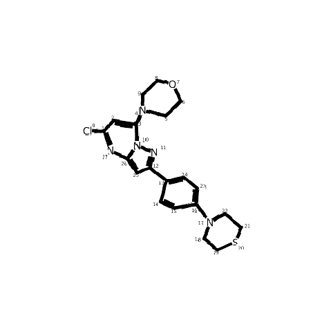 Clc1cc(N2CCOCC2)n2nc(-c3ccc(N4CCSCC4)cc3)cc2n1